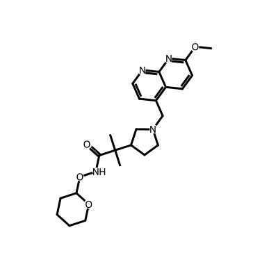 COc1ccc2c(CN3CCC(C(C)(C)C(=O)NOC4CCCCO4)C3)ccnc2n1